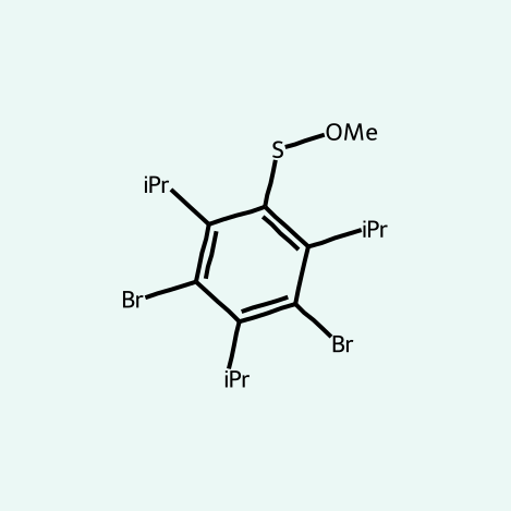 COSc1c(C(C)C)c(Br)c(C(C)C)c(Br)c1C(C)C